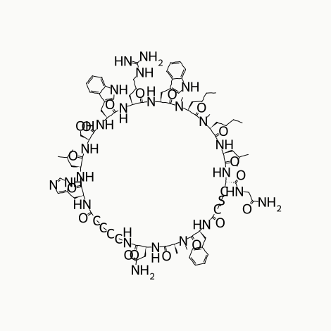 CCCC[C@H]1C(=O)N(C)[C@@H](CCCC)C(=O)N[C@@H](CC(C)C)C(=O)N[C@H](C(=O)NCC(N)=O)CSCC(=O)N[C@@H](Cc2ccccc2)C(=O)N(C)[C@@H](C)C(=O)N[C@@H](CC(N)=O)C(=O)NCCCCC(=O)N[C@@H](Cc2cnc[nH]2)C(=O)N[C@@H](CC(C)C)C(=O)N[C@@H](CO)C(=O)N[C@@H](Cc2c[nH]c3ccccc23)C(=O)N[C@@H](CCCNC(=N)N)C(=O)N[C@@H](Cc2c[nH]c3ccccc23)C(=O)N1C